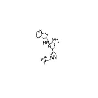 Nc1ccc(-c2cnn(CC(F)(F)F)c2)nc1NCc1ccc2ncccc2c1